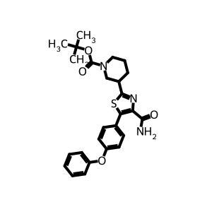 CC(C)(C)OC(=O)N1CCCC(c2nc(C(N)=O)c(-c3ccc(Oc4ccccc4)cc3)s2)C1